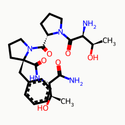 C[C@@H](O)[C@H](N)C(=O)N1CCC[C@H]1C(=O)N1CCC[C@@]1(Cc1ccccc1)C(=O)N[C@H](C(N)=O)[C@@H](C)O